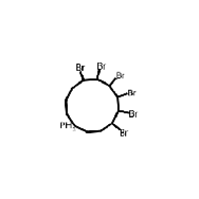 BrC1CCCCCCC(Br)C(Br)C(Br)C(Br)C1Br.P